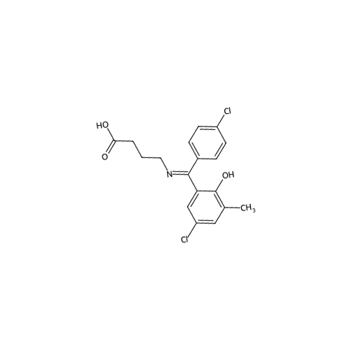 Cc1cc(Cl)cc(C(=NCCCC(=O)O)c2ccc(Cl)cc2)c1O